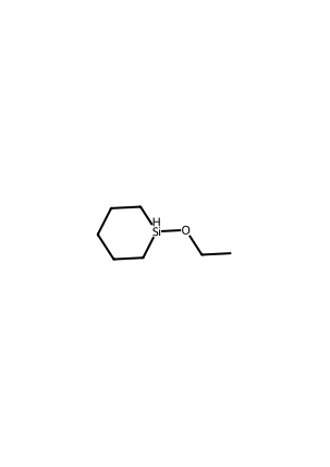 CCO[SiH]1CCCCC1